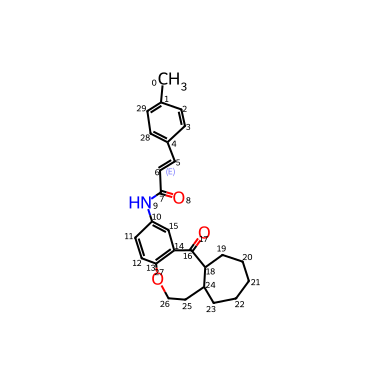 Cc1ccc(/C=C/C(=O)Nc2ccc3c(c2)C(=O)C2CCCCCC2CCO3)cc1